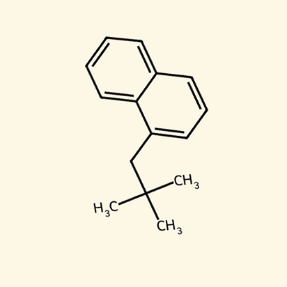 CC(C)(C)Cc1cccc2ccccc12